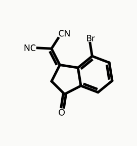 N#CC(C#N)=C1CC(=O)c2cccc(Br)c21